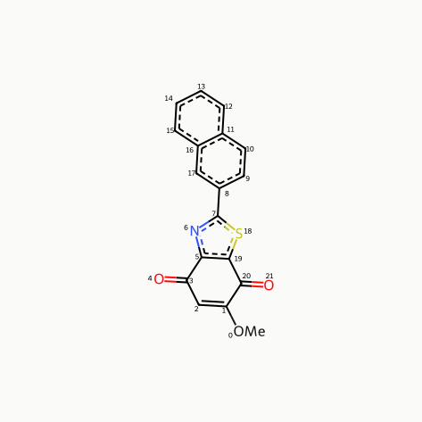 COC1=CC(=O)c2nc(-c3ccc4ccccc4c3)sc2C1=O